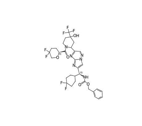 O=C(N[C@H](c1cn2ncc(C3CC(O)(C(F)(F)F)CCN3C(=O)[C@@H]3CCC(F)(F)CO3)nc2n1)C1CCC(F)(F)CC1)OCc1ccccc1